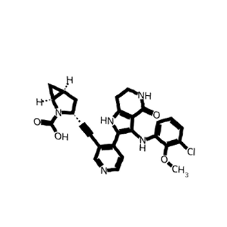 COc1c(Cl)cccc1Nc1c(-c2ccncc2C#C[C@H]2C[C@@H]3C[C@@H]3N2C(=O)O)[nH]c2c1C(=O)NCC2